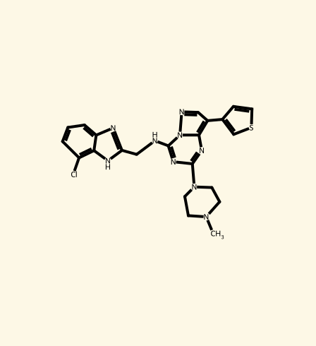 CN1CCN(c2nc(NCc3nc4cccc(Cl)c4[nH]3)n3ncc(-c4ccsc4)c3n2)CC1